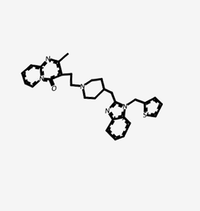 Cc1nc2ccccn2c(=O)c1CCN1CCC(Cc2nc3ccccc3n2Cc2cccs2)CC1